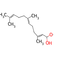 CC(C)=CCCC(C)=CCCC(C)=CC([O])O